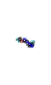 Cc1c(N2CCc3ncc(Oc4cccc(F)c4F)cc3C2)nn2c(C(F)(F)F)nnc2c1C